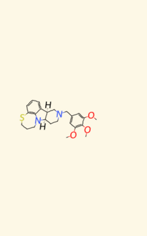 COc1cc(CN2CC[C@@H]3[C@H](C2)c2cccc4c2N3CCCS4)cc(OC)c1OC